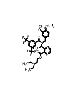 CCN(CC)CCOC(=O)c1nccnc1C(C)N(Cc1ccc(OC)c(OC)c1)C(=O)c1cc(C(F)(F)F)cc(C(F)(F)F)c1